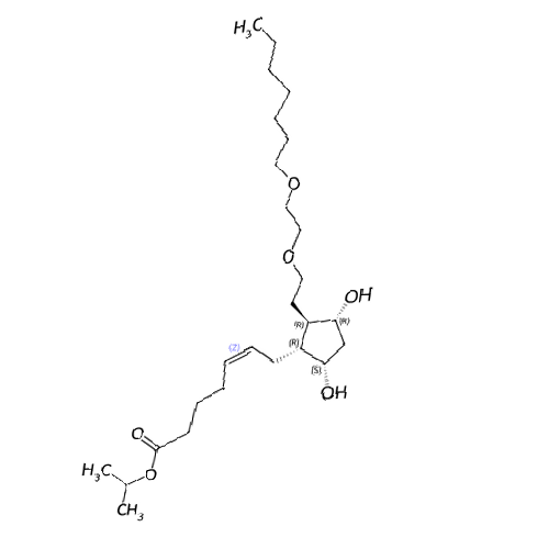 CCCCCCCOCCOCC[C@@H]1[C@@H](C/C=C\CCCC(=O)OC(C)C)[C@@H](O)C[C@H]1O